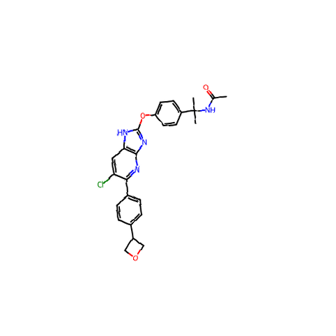 CC(=O)NC(C)(C)c1ccc(Oc2nc3nc(-c4ccc(C5COC5)cc4)c(Cl)cc3[nH]2)cc1